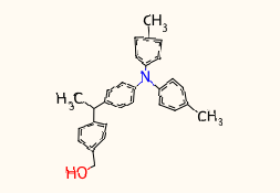 Cc1ccc(N(c2ccc(C)cc2)c2ccc(C(C)c3ccc(CO)cc3)cc2)cc1